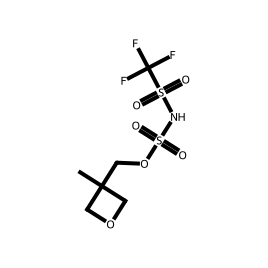 CC1(COS(=O)(=O)NS(=O)(=O)C(F)(F)F)COC1